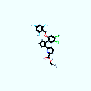 CCOC(=O)c1cccc(C2=C(c3cc(Cl)c(Cl)cc3OCc3c(F)cc(F)cc3F)CCC2)n1